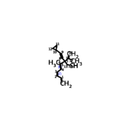 C=C/C=C\C=C(/C)C(C#CC1CC1)(CS)C(=C)C